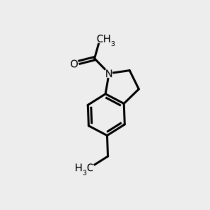 CCc1ccc2c(c1)CCN2C(C)=O